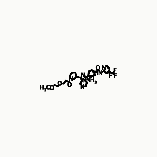 COCCOCCC(=O)N1CCCC(C2=C3C=NC=C[N+]3(N)C(c3ccc(C(=O)Nc4cc(C(F)(F)F)ccn4)cc3)=N2)C1